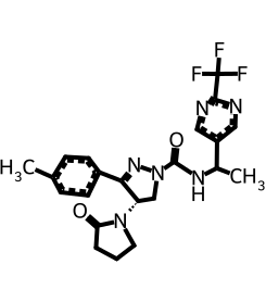 Cc1ccc(C2=NN(C(=O)NC(C)c3cnc(C(F)(F)F)nc3)C[C@@H]2N2CCCC2=O)cc1